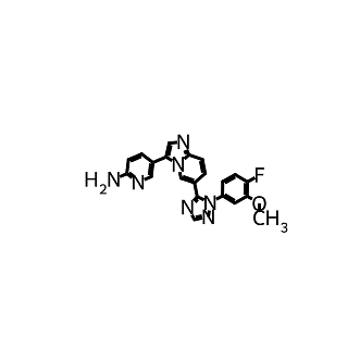 COc1cc(-n2ncnc2-c2ccc3ncc(-c4ccc(N)nc4)n3c2)ccc1F